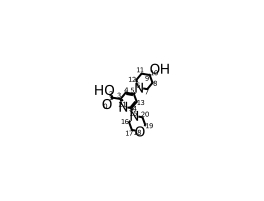 O=C(O)c1cc(N2CCC(O)CC2)cc(N2CCOCC2)n1